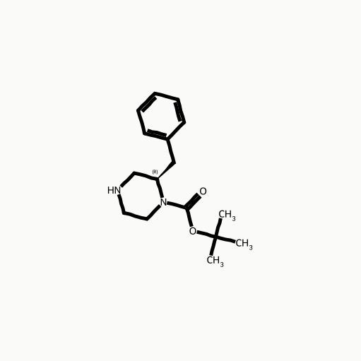 CC(C)(C)OC(=O)N1CCNC[C@H]1Cc1ccccc1